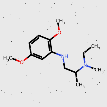 CCN(C)C(C)CNc1cc(OC)ccc1OC